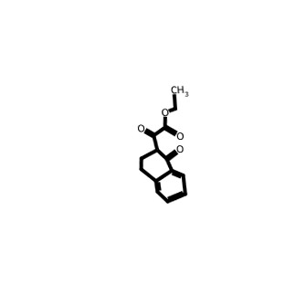 CCOC(=O)C(=O)C1CCc2ccccc2C1=O